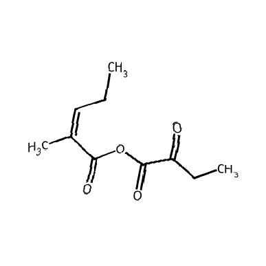 CCC=C(C)C(=O)OC(=O)C(=O)CC